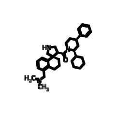 CN(C)Cc1cccc2c1CCC[C@]21CNC[C@H]1C(=O)N1CC[C@@H](c2ccccc2)C[C@H]1C1CCCCC1